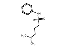 CN(C)CCCS(=O)(=O)Nc1cc[c]cc1